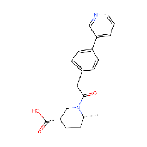 C[C@@H]1CC[C@H](C(=O)O)CN1C(=O)Cc1ccc(-c2cccnc2)cc1